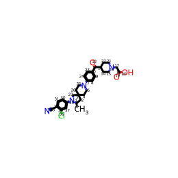 CC1CC2(CCN(c3ccc(C(=O)C4CCN(CC(=O)O)CC4)cc3)CC2)CN1c1ccc(C#N)c(Cl)c1